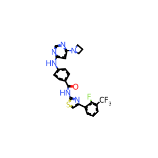 O=C(Nc1nc(-c2cccc(C(F)(F)F)c2F)cs1)c1ccc(Nc2cc(N3CCC3)ncn2)cc1